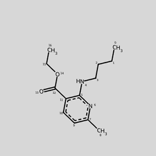 CCCCNc1nc(C)ccc1C(=O)OCC